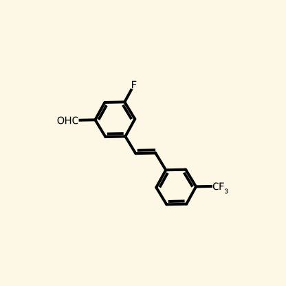 O=Cc1cc(F)cc(/C=C/c2cccc(C(F)(F)F)c2)c1